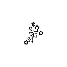 O=C(Cc1ccccc1)N[C@@H]1C(=O)N2C(C(=O)OC(c3ccccc3)c3ccccc3)=C([SH]3C=CC(c4ncc[nH]4)=C3)CSC12